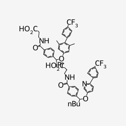 CCCCC(Oc1ccc(-c2ccc(C(F)(F)F)cc2)nc1)c1ccc(C(=O)NCCC(=O)O)cc1.Cc1cc(OC(c2ccc(C(=O)NCCC(=O)O)cc2)C(C)C)cc(C)c1-c1ccc(C(F)(F)F)cc1